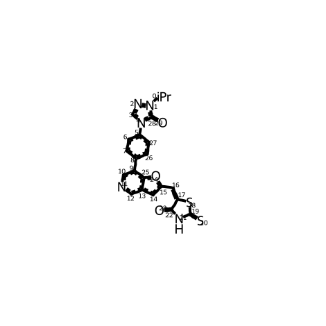 CC(C)n1ncn(-c2ccc(-c3cncc4cc(/C=C5/SC(=S)NC5=O)oc34)cc2)c1=O